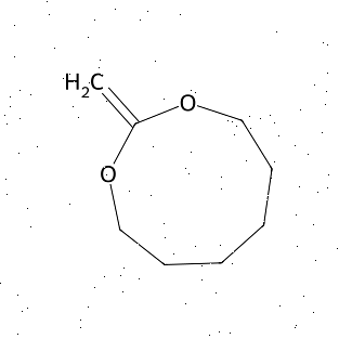 C=C1OCCCCCCO1